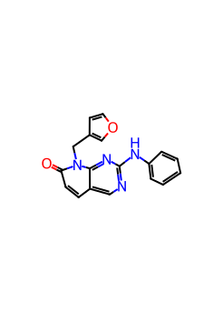 O=c1ccc2cnc(Nc3ccccc3)nc2n1Cc1ccoc1